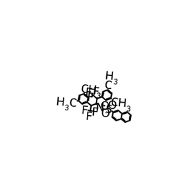 Cc1cc(C)cc(C(C(=NOS(=O)(=O)c2ccc3ccccc3c2)C(c2cc(C)cc(C)c2)C(F)(F)F)C(F)(F)F)c1